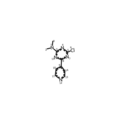 CN(C)c1nc(Cl)nc(-c2ccncc2)n1